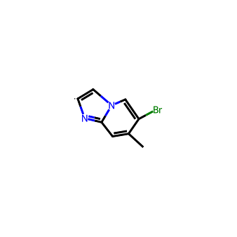 Cc1cc2n[c]cn2cc1Br